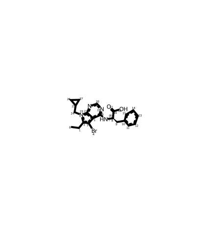 CCc1c(Br)c2c(N[C@H](Cc3ccccc3)C(=O)O)ncnc2n1CC1CC1